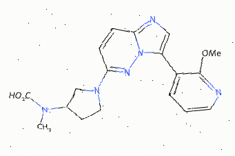 COc1ncccc1-c1cnc2ccc(N3CCC(N(C)C(=O)O)C3)nn12